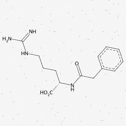 N=C(N)NCCC[C@H](NC(=O)Cc1ccccc1)C(=O)O